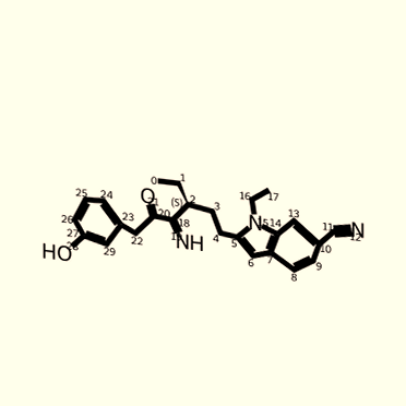 CC[C@@H](CCc1cc2ccc(C#N)cc2n1CC)C(=N)C(=O)Cc1cccc(O)c1